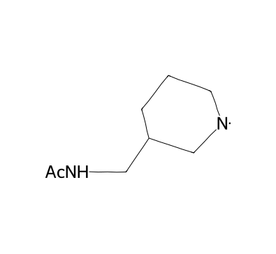 CC(=O)NCC1CCC[N]C1